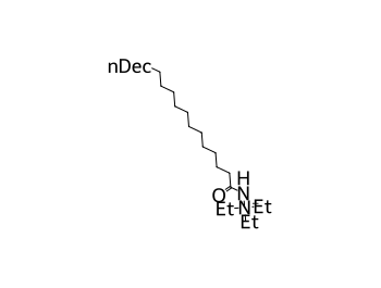 CCCCCCCCCCCCCCCCCCCCCC(=O)N[N+](CC)(CC)CC